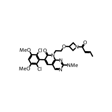 CC=CC(=O)N1CC(OCCn2c(=O)c(-c3c(Cl)c(OC)cc(OC)c3Cl)cc3cnc(NC)nc32)C1